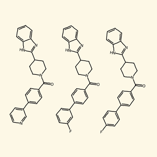 O=C(c1ccc(-c2ccc(F)cc2)cc1)N1CCC(c2nc3ccccc3[nH]2)CC1.O=C(c1ccc(-c2cccc(F)c2)cc1)N1CCC(c2nc3ccccc3[nH]2)CC1.O=C(c1ccc(-c2cccnc2)cc1)N1CCC(c2nc3ccccc3[nH]2)CC1